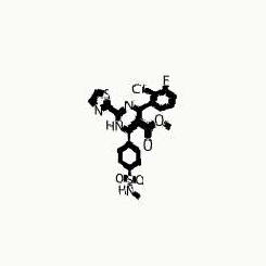 CNS(=O)(=O)[C@H]1CC[C@@H](C2=C(C(=O)OC)C(c3cccc(F)c3Cl)N=C(c3nccs3)N2)CC1